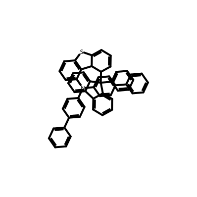 C1=CC(C2(c3ccccc3)c3ccccc3-c3ccccc32)C2C(=C1)Sc1cccc(N(c3ccc(-c4ccccc4)cc3)c3ccc(-c4ccccc4)cc3)c12